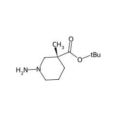 CC(C)(C)OC(=O)[C@]1(C)CCCN(N)C1